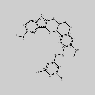 COc1ccc2[nH]c3c(c2c1)CC1c2cc(OCc4cc(F)cc(F)c4)c(OC)cc2CCN1C3